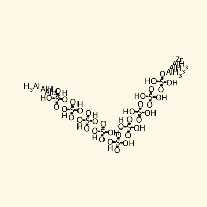 O=S(=O)(O)O.O=S(=O)(O)O.O=S(=O)(O)O.O=S(=O)(O)O.O=S(=O)(O)O.O=S(=O)(O)O.O=S(=O)(O)O.O=S(=O)(O)O.O=S(=O)(O)O.[AlH3].[AlH3].[AlH3].[AlH3].[AlH3].[AlH3].[Zr]